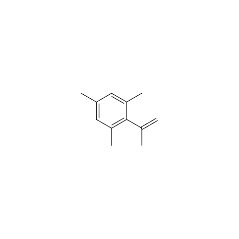 C=C(C)c1c(C)cc(C)cc1C